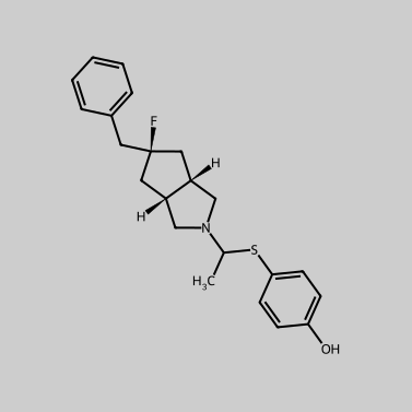 CC(Sc1ccc(O)cc1)N1C[C@@H]2C[C@](F)(Cc3ccccc3)C[C@@H]2C1